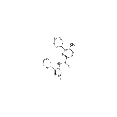 Cn1cc(NC(=O)c2ccc(C#N)c(-c3ccncc3)n2)c(-c2ccccn2)n1